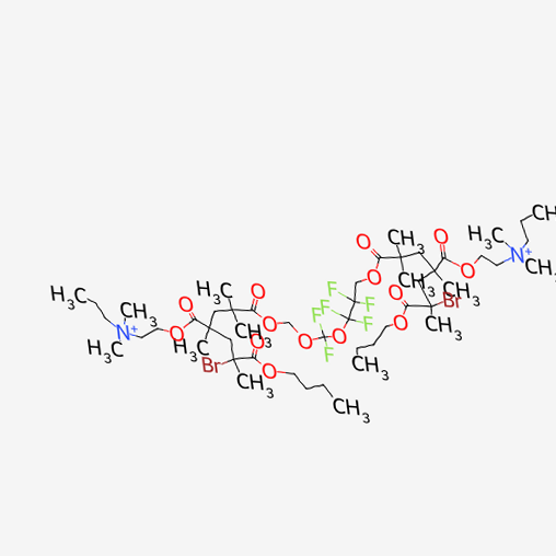 CCCCOC(=O)C(C)(Br)CC(C)(CC(C)(C)C(=O)OCOC(F)(F)OC(F)(F)C(F)(F)COC(=O)C(C)(C)CC(C)(CC(C)(Br)C(=O)OCCCC)C(=O)OCC[N+](C)(C)CCC)C(=O)OCC[N+](C)(C)CCC